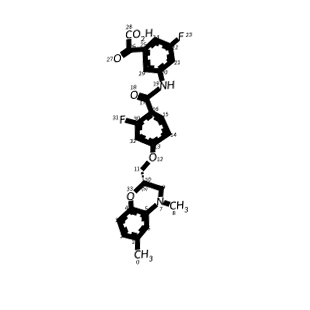 Cc1ccc2c(c1)N(C)C[C@@H](COc1ccc(C(=O)Nc3cc(F)cc(C(=O)C(=O)O)c3)c(F)c1)O2